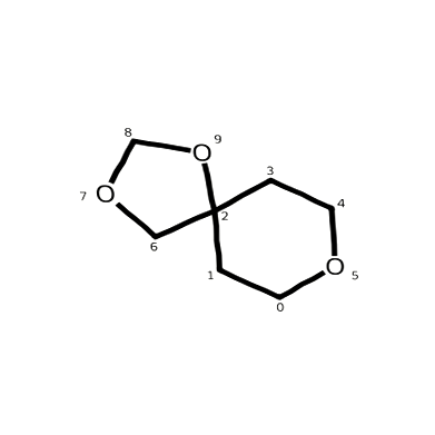 C1CC2(CCO1)COCO2